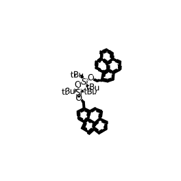 CC(C)(C)[Si](OCc1ccc2ccc3cccc4ccc1c2c34)(O[Si](OCc1ccc2ccc3cccc4ccc1c2c34)(C(C)(C)C)C(C)(C)C)C(C)(C)C